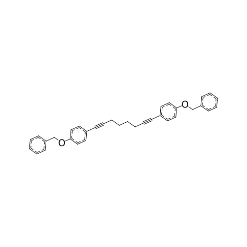 C(#Cc1ccc(OCc2ccccc2)cc1)CCCCC#Cc1ccc(OCc2ccccc2)cc1